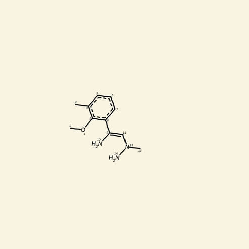 COc1c(C)cccc1/C(N)=C/N(C)N